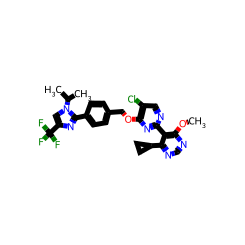 COc1ncnc(C2CC2)c1-c1ncc(Cl)c(OCc2ccc(-c3nc(C(F)(F)F)cn3C(C)C)cc2)n1